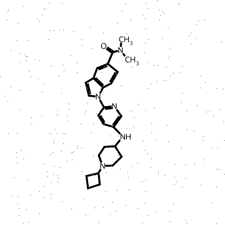 CN(C)C(=O)c1ccc2c(ccn2-c2ccc(NC3CCN(C4CCC4)CC3)cn2)c1